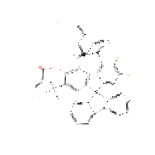 C=CC(=O)Oc1c(/C(C)=C/C=C\C)cc(C2(c3cc(S)c(O)c(C(=C)/C=C\C=C/C)c3)c3ccccc3-c3ccccc32)cc1C(C)(C)C